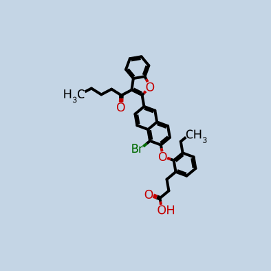 CCCCC(=O)c1c(-c2ccc3c(Br)c(Oc4c(CC)cccc4CCC(=O)O)ccc3c2)oc2ccccc12